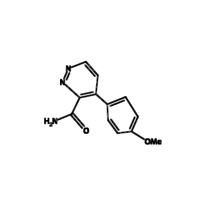 COc1ccc(-c2ccnnc2C(N)=O)cc1